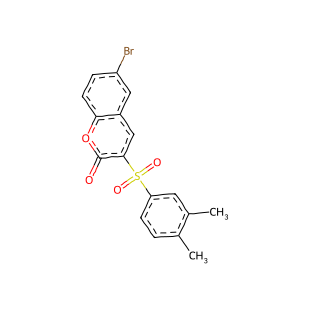 Cc1ccc(S(=O)(=O)c2cc3cc(Br)ccc3oc2=O)cc1C